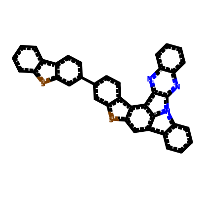 c1ccc2nc3c(nc2c1)c1c2c(cc4c5ccccc5n3c41)sc1cc(-c3ccc4c(c3)sc3ccccc34)ccc12